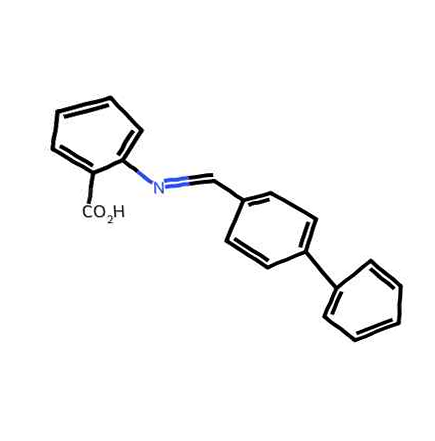 O=C(O)c1ccccc1N=Cc1ccc(-c2ccccc2)cc1